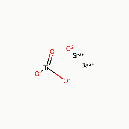 [Ba+2].[O-2].[O]=[Ti]([O-])[O-].[Sr+2]